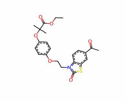 CCOC(=O)C(C)(C)Oc1ccc(OCCn2c(=O)sc3cc(C(C)=O)ccc32)cc1